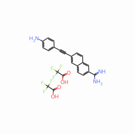 N=C(N)c1ccc2cc(C#Cc3ccc(N)cc3)ccc2c1.O=C(O)C(F)(F)F.O=C(O)C(F)(F)F